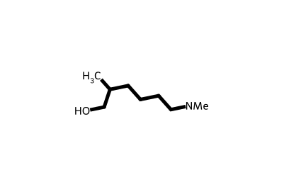 CNCCCCC(C)CO